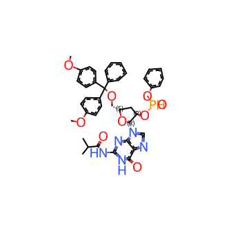 COc1ccc(C(OC[C@@H]2C[C@@H](O[PH](=O)Oc3ccccc3)[C@H](n3cnc4c(=O)[nH]c(NC(=O)C(C)C)nc43)O2)(c2ccccc2)c2ccc(OC)cc2)cc1